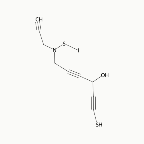 C#CCN(CC#CC(O)C#CS)SI